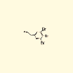 C=CCc1cc(Br)c(Br)c(Br)c1